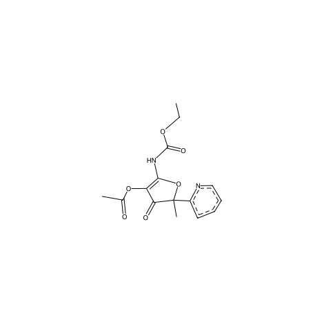 CCOC(=O)NC1=C(OC(C)=O)C(=O)C(C)(c2ccccn2)O1